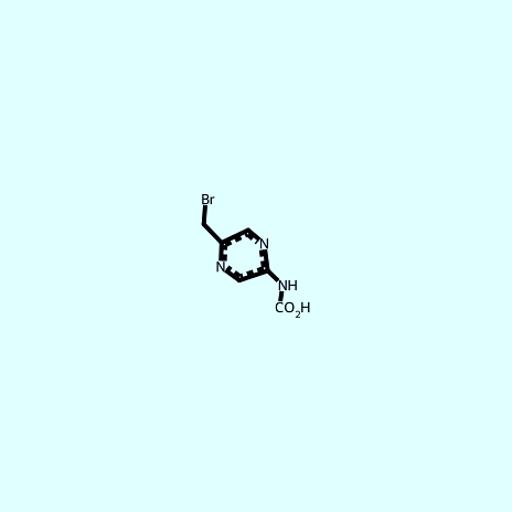 O=C(O)Nc1cnc(CBr)cn1